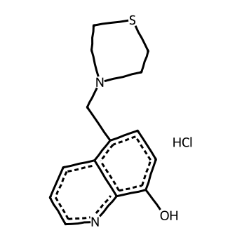 Cl.Oc1ccc(CN2CCSCC2)c2cccnc12